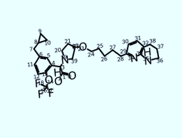 O=C(O)C(c1cc(CC2CC2)ccc1OC(F)(F)F)N1CC[C@@H](OCCCCCc2ccc3c(n2)NCCC3)C1